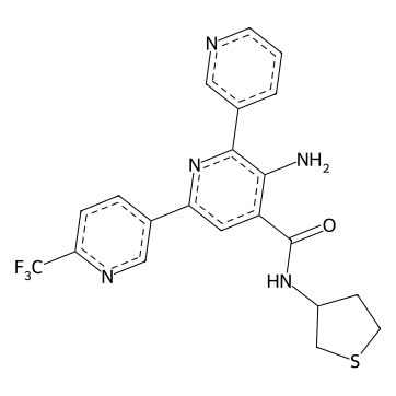 Nc1c(C(=O)NC2CCSC2)cc(-c2ccc(C(F)(F)F)nc2)nc1-c1cccnc1